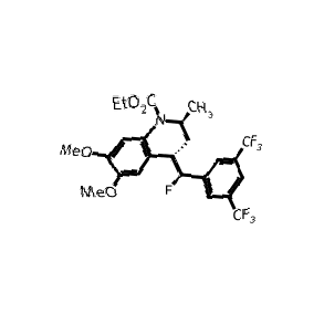 CCOC(=O)N1c2cc(OC)c(OC)cc2[C@@H]([C@H](F)c2cc(C(F)(F)F)cc(C(F)(F)F)c2)C[C@@H]1C